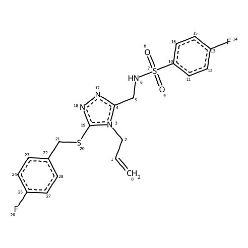 C=CCn1c(CNS(=O)(=O)c2ccc(F)cc2)nnc1SCc1ccc(F)cc1